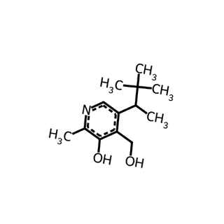 Cc1ncc(C(C)C(C)(C)C)c(CO)c1O